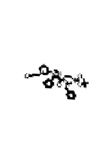 COCCCN1CCCC(n2cnc(C(=O)N3CCN(C(=O)OC(C)(C)C)C[C@H]3Cc3ccccc3)c2-c2ccccc2)C1